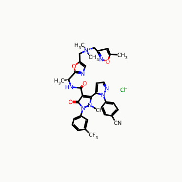 Cc1cc(C[N+](C)(C)Cc2cnc([C@H](C)NC(=O)c3c(-c4ccnn4-c4ccc(C#N)cc4)n(C)n(-c4cccc(C(F)(F)F)c4)c3=O)o2)no1.[Cl-]